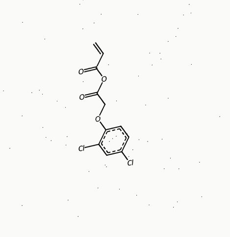 C=CC(=O)OC(=O)COc1ccc(Cl)cc1Cl